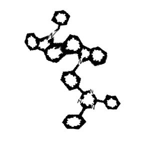 c1ccc(-c2nc(-c3ccccc3)nc(-c3cccc(-n4c5ccccc5c5ccc6c(ccc7c8ccccc8n(-c8ccccc8)c76)c54)c3)n2)cc1